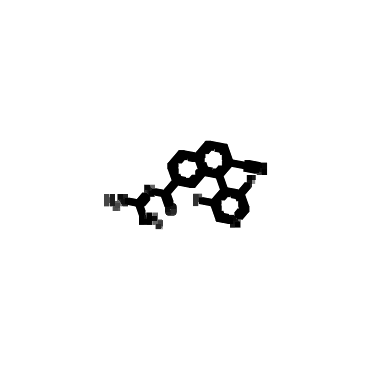 N#Cc1ccc2ccc(C(=O)N=C(N)N)cc2c1-c1c(F)cncc1F